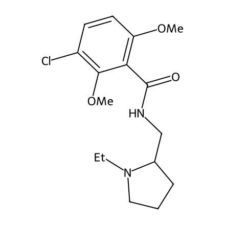 CCN1CCCC1CNC(=O)c1c(OC)ccc(Cl)c1OC